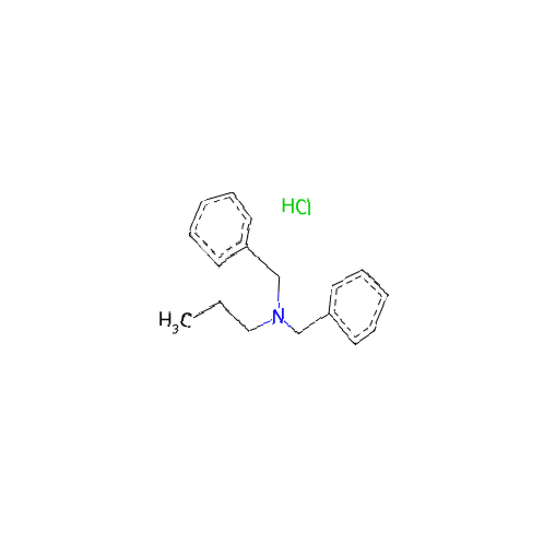 CCCN(Cc1ccccc1)Cc1ccccc1.Cl